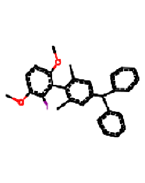 COc1ccc(OC)c(-c2c(C)cc(C(c3ccccc3)c3ccccc3)cc2C)c1I